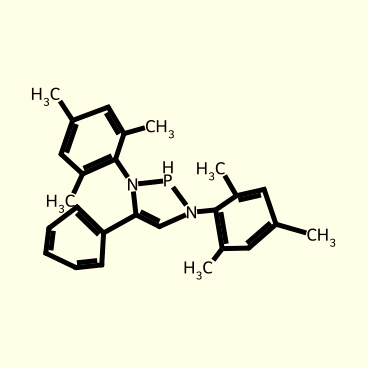 Cc1cc(C)c(N2C=C(c3ccccc3)N(c3c(C)cc(C)cc3C)P2)c(C)c1